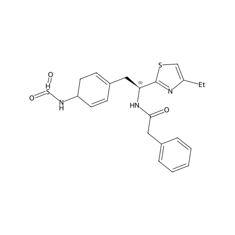 CCc1csc([C@H](CC2=CCC(N[SH](=O)=O)C=C2)NC(=O)Cc2ccccc2)n1